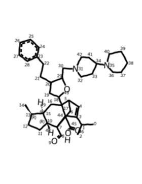 CC(C)C1=CC2CC3(C=O)[C@@H]4CC[C@@H](C)[C@H]4CC2(C2CC(CCc4ccccc4)C(CN4CCC(N5CCCCC5)CC4)O2)C13C(=O)O